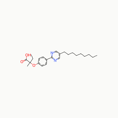 CCCCCCCCCc1cnc(-c2ccc(OC(C)(CC)C(=O)O)cc2)nc1